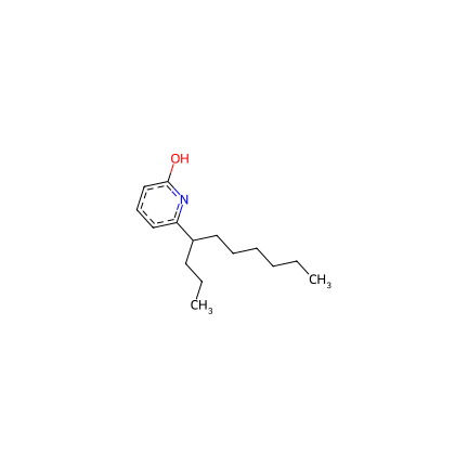 CCCCCCC(CCC)c1cccc(O)n1